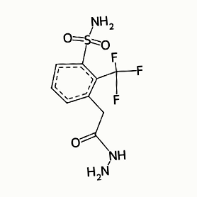 NNC(=O)Cc1cccc(S(N)(=O)=O)c1C(F)(F)F